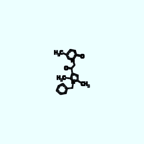 Cc1ccc(=O)n(CC(=O)c2cc(C)n(Cc3ccccc3)c2C)c1